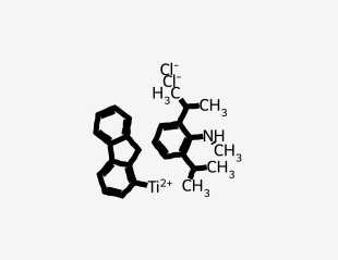 CNc1c(C(C)C)cccc1C(C)C.[Cl-].[Cl-].[Ti+2][c]1cccc2c1Cc1ccccc1-2